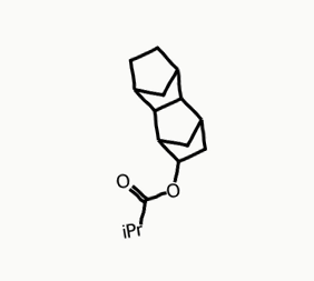 CC(C)C(=O)OC1CC2CC1C1C3CCC(C3)C21